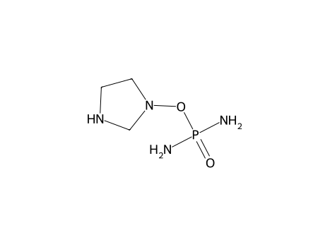 NP(N)(=O)ON1CCNC1